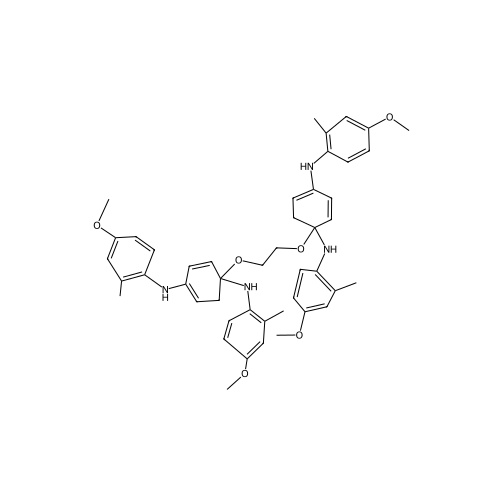 COc1ccc(NC2=CCC(Nc3ccc(OC)cc3C)(OCCOC3(Nc4ccc(OC)cc4C)C=CC(Nc4ccc(OC)cc4C)=CC3)C=C2)c(C)c1